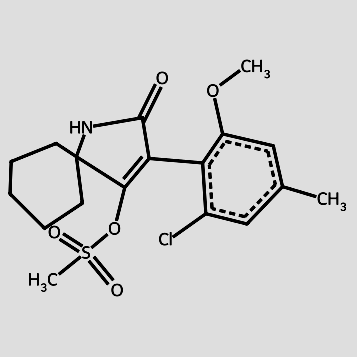 COc1cc(C)cc(Cl)c1C1=C(OS(C)(=O)=O)C2(CCCCC2)NC1=O